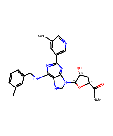 CNC(=O)[C@@H]1C[C@@H](O)[C@H](n2cnc3c(NCc4cccc(C)c4)nc(-c4cncc(OC)c4)nc32)O1